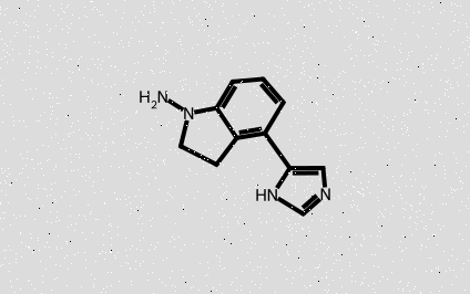 NN1CCc2c(-c3cnc[nH]3)cccc21